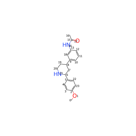 COc1ccc(C2[CH]C(c3cccc(NC(C)=O)c3)CCN2)cc1